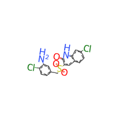 Nc1cc(CS(=O)(=O)c2cc3ccc(Cl)cc3[nH]c2=O)ccc1Cl